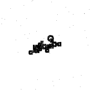 O=S(=O)(Nc1ncc(Cl)s1)c1cc(Cl)c(NCc2ccc(Cl)cc2N2CCCCCC2)cc1F